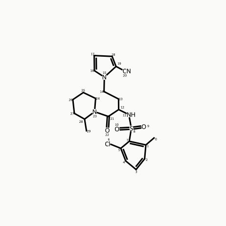 Cc1cccc(Cl)c1S(=O)(=O)NC(CCn1cccc1C#N)C(=O)N1CCCCC1C